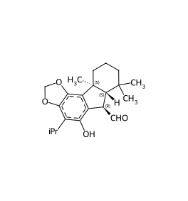 CC(C)c1c(O)c2c(c3c1OCO3)[C@@]1(C)CCCC(C)(C)[C@@H]1[C@H]2C=O